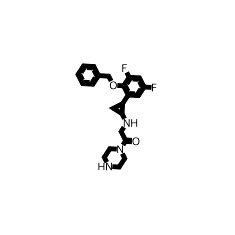 O=C(CNC1CC1c1cc(F)cc(F)c1OCc1ccccc1)N1CCNCC1